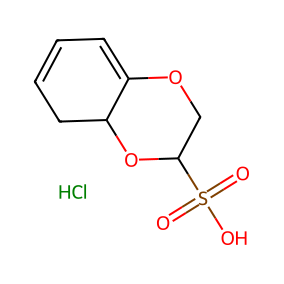 Cl.O=S(=O)(O)C1COC2=CC=CCC2O1